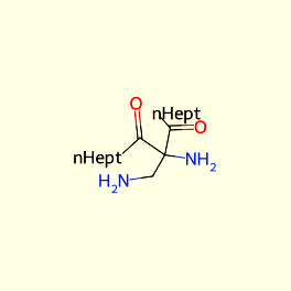 CCCCCCCC(=O)C(N)(CN)C(=O)CCCCCCC